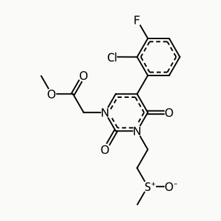 COC(=O)Cn1cc(-c2cccc(F)c2Cl)c(=O)n(CC[S+](C)[O-])c1=O